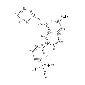 Cc1cc(OCc2ccccc2)c2cc(-c3cccc(C(F)(F)F)c3)nnc2c1